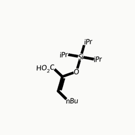 CCCCC=C(O[Si](C(C)C)(C(C)C)C(C)C)C(=O)O